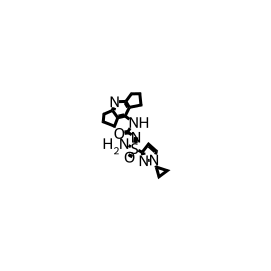 NS(=O)(=NC(=O)Nc1c2c(nc3c1CCC3)CCC2)c1ccn(C2CC2)n1